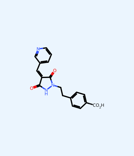 O=C1NN(CCc2ccc(C(=O)O)cc2)C(=O)C1=Cc1cccnc1